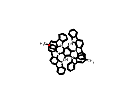 Cc1ccc2c(c1)c1ccc3c4ccccc4sc3c1n2-c1c(C#N)c(-n2c3ccccc3c3ccccc32)c(-n2c3ccc(C)cc3c3ccc4c5ccccc5sc4c32)c(C#N)c1-n1c2ccccc2c2ccccc21